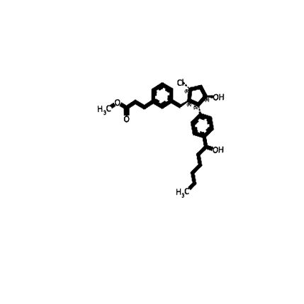 CCCCCC(O)c1ccc([C@@H]2[C@@H](Cc3cccc(CCC(=O)OC)c3)[C@H](Cl)C[C@H]2O)cc1